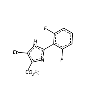 CCOC(=O)c1nc(-c2c(F)cccc2F)[nH]c1CC